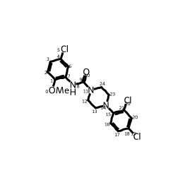 COc1ccc(Cl)cc1NC(=O)N1CCN(c2ccc(Cl)cc2Cl)CC1